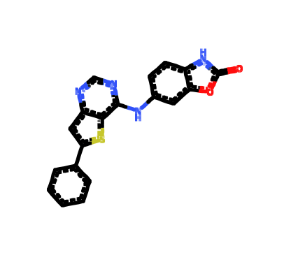 O=c1[nH]c2ccc(Nc3ncnc4cc(-c5ccccc5)sc34)cc2o1